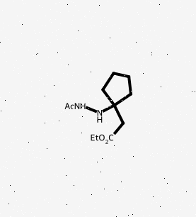 CCOC(=O)CC1(NNC(C)=O)CCCC1